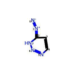 [N-]=[N+]=c1ccnn[nH]1